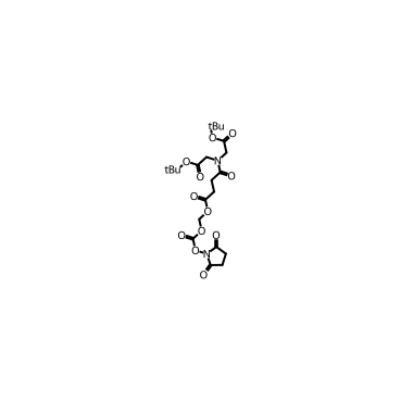 CC(C)(C)OC(=O)CN(CC(=O)OC(C)(C)C)C(=O)CCC(=O)OCOC(=O)ON1C(=O)CCC1=O